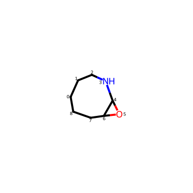 C1CCNC2OC2CC1